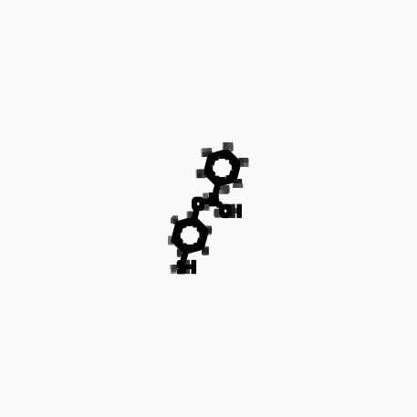 OB(Oc1ccc(S)cc1)c1ccccc1